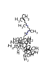 CC(C)=CCC/C(C)=C/CC/C(C)=C/C=N/CCC(O)C(=O)NC1CC(N)C(OC2OC(CN)C(O)C(O)C2O)C(O)C1OC1OC(CO)C(O)C(N)C1O